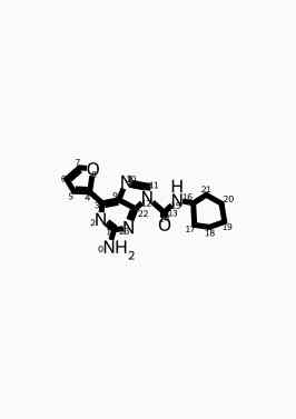 Nc1nc(-c2ccco2)c2ncn(C(=O)NC3CCCCC3)c2n1